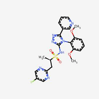 COc1cccc(OC)c1-n1c(NS(=O)(=O)[C@H](C)Cc2ncc(F)cn2)nnc1-c1cccnc1